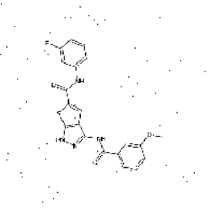 COc1cccc(C(=O)Nc2n[nH]c3sc(C(=O)Nc4cccc(F)c4)cc23)c1